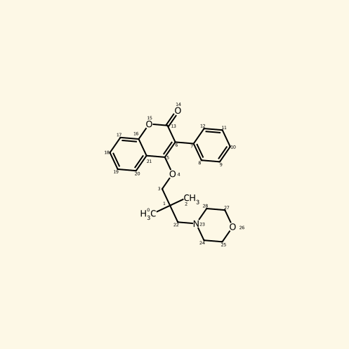 CC(C)(COc1c(-c2ccccc2)c(=O)oc2ccccc12)CN1CCOCC1